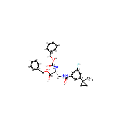 CC1(c2cc(F)cc(C(=O)NC[C@@H](NC(=O)OCc3ccccc3)C(=O)OCc3ccccc3)c2)CC1